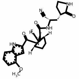 COc1cccc2[nH]c(C(=O)N3[C@H]4CC[C@@H]([C@@H]3C(=O)N[C@H](C#N)C[C@@H]3CCNC3=O)C(F)(F)C4)cc12